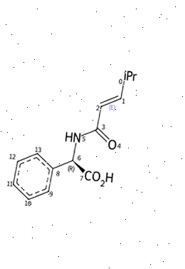 CC(C)/C=C/C(=O)N[C@@H](C(=O)O)c1ccccc1